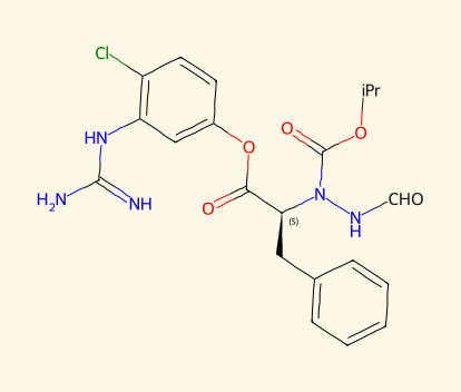 CC(C)OC(=O)N(NC=O)[C@@H](Cc1ccccc1)C(=O)Oc1ccc(Cl)c(NC(=N)N)c1